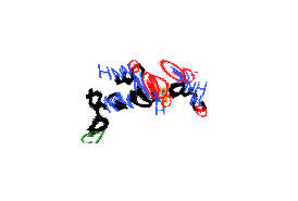 CC1(C)CCC(CN2CCN(c3ccc(C(=O)NS(=O)(=O)c4cc5c(c([N+](=O)[O-])c4)N[C@@H](CN4CCOCC4)C5)c(N4CCCOc5nc6[nH]ccc6cc54)c3)CC2)=C(c2ccc(Cl)cc2)C1